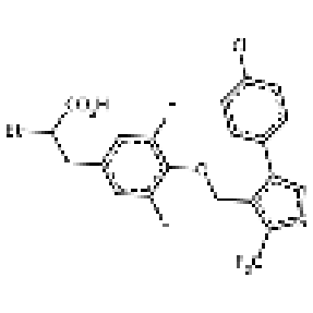 CCC(Cc1cc(F)c(OCc2c(-c3ccc(Cl)cc3)csc2C(F)(F)F)c(F)c1)C(=O)O